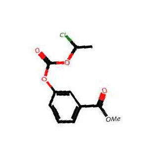 COC(=O)c1cccc(OC(=O)OC(C)Cl)c1